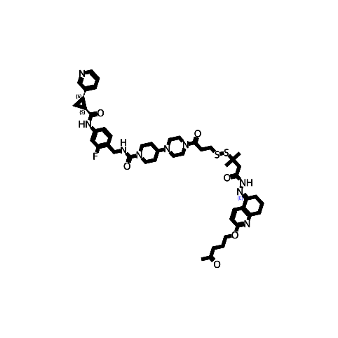 CC(=O)CCCOc1ccc2c(n1)CCC/C2=N\NC(=O)CC(C)(C)SSCCC(=O)N1CCN(C2CCN(C(=O)NCc3ccc(NC(=O)[C@H]4C[C@@H]4c4cccnc4)cc3F)CC2)CC1